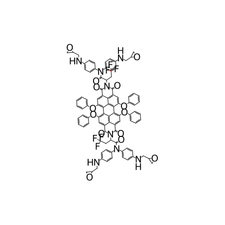 O=C(C(CC(F)(F)F)N1C(=O)c2cc(Oc3ccccc3)c3c4c(Oc5ccccc5)cc5c6c(cc(Oc7ccccc7)c(c7c(Oc8ccccc8)cc(c2c37)C1=O)c64)C(=O)N(C(CC(F)(F)F)C(=O)N(c1ccc(NCC2CO2)cc1)c1ccc(NCC2CO2)cc1)C5=O)N(c1ccc(NCC2CO2)cc1)c1ccc(NCC2CO2)cc1